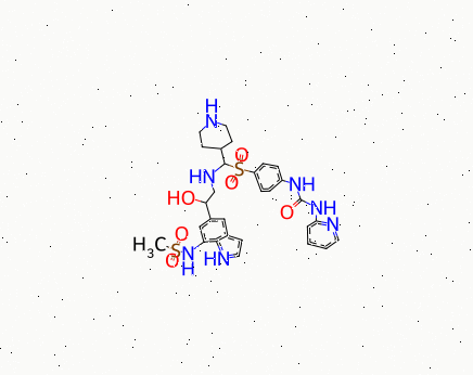 CS(=O)(=O)Nc1cc(C(O)CNC(C2CCNCC2)S(=O)(=O)c2ccc(NC(=O)Nc3ccccn3)cc2)cc2cc[nH]c12